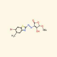 CCCCOC1OC(=O)C(N=Nc2nc3cc(C)c(Br)cc3s2)=C1O